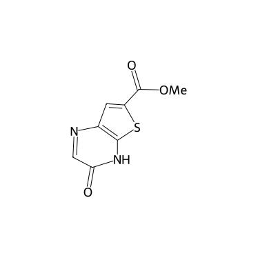 COC(=O)c1cc2ncc(=O)[nH]c2s1